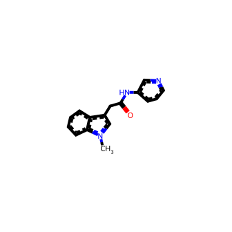 Cn1cc(CC(=O)Nc2cccnc2)c2ccccc21